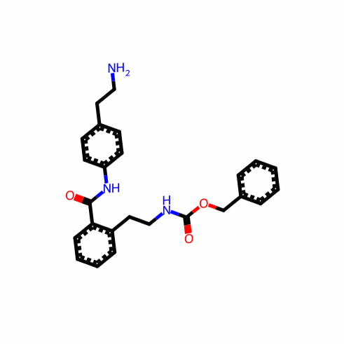 NCCc1ccc(NC(=O)c2ccccc2CCNC(=O)OCc2ccccc2)cc1